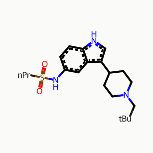 CCCS(=O)(=O)Nc1ccc2[nH]cc(C3CCN(CC(C)(C)C)CC3)c2c1